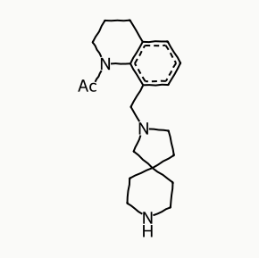 CC(=O)N1CCCc2cccc(CN3CCC4(CCNCC4)C3)c21